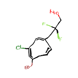 OCC(F)(F)c1ccc(Br)c(Cl)c1